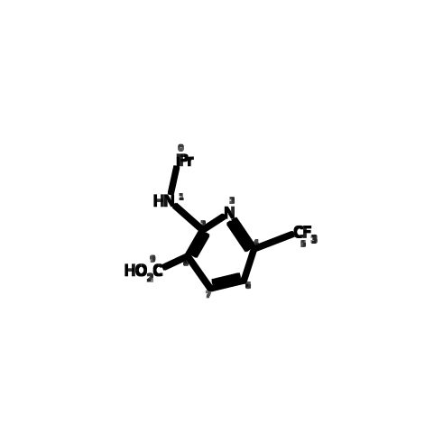 CC(C)Nc1nc(C(F)(F)F)ccc1C(=O)O